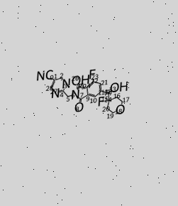 N#Cc1cnc(CN2C(=O)c3cc([C@@H](O)C4(F)CCOCC4)cc(F)c3[C@H]2O)nc1